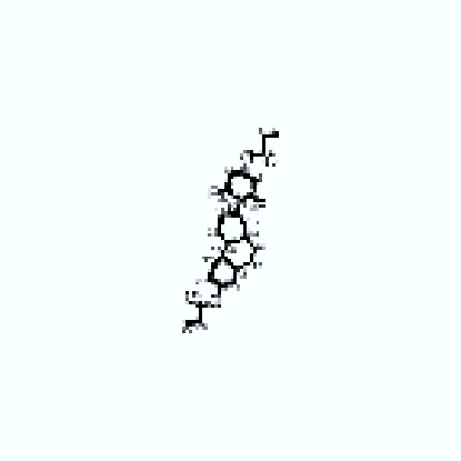 C=CC(=O)Oc1cc(F)c(-c2ccc3c(c2)CCc2cc(OC(=O)C=C)ccc2-3)c(F)c1